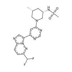 C[C@@H]1C[C@H](NS(C)(=O)=O)CN(c2cc(-c3cnc4ccc(C(F)F)nn34)ncn2)C1